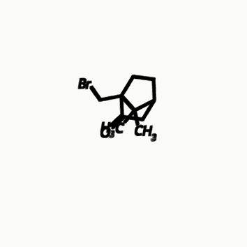 CC1(C)C2CCC1(CBr)C(=O)C2